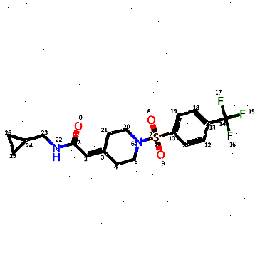 O=C(C=C1CCN(S(=O)(=O)c2ccc(C(F)(F)F)cc2)CC1)NCC1CC1